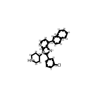 Clc1cccc(-c2nc3c(-c4ccc5ccccc5c4)ccnc3n2C2CCNCC2)c1